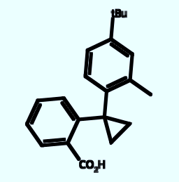 Cc1cc(C(C)(C)C)ccc1C1(c2ccccc2C(=O)O)CC1